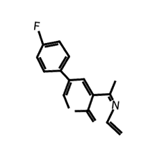 C=C\N=C(C)/C(=C/C(=C\C)c1ccc(F)cc1)C(=C)C